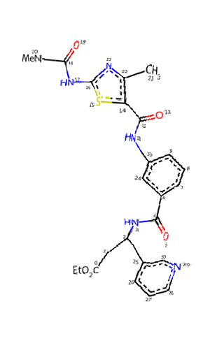 CCOC(=O)CC(NC(=O)c1cccc(NC(=O)c2sc(NC(=O)NC)nc2C)c1)c1cccnc1